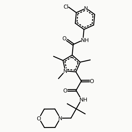 Cc1c(C(=O)Nc2ccnc(Cl)c2)c(C)n(C)c1C(=O)C(=O)NC(C)(C)CN1CCOCC1